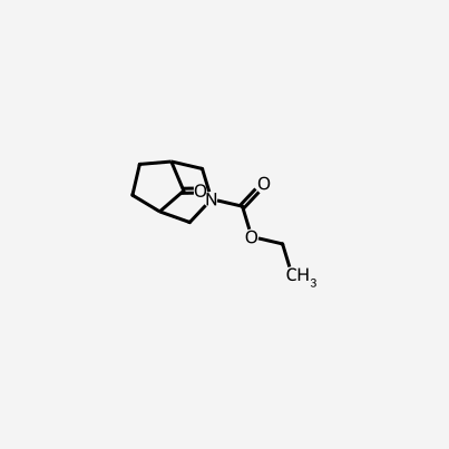 CCOC(=O)N1CC2CCC(C1)C2=O